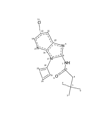 CC(C)(C)CC(=O)Nc1nc2cc(Cl)cnc2n1C1=CC=C1